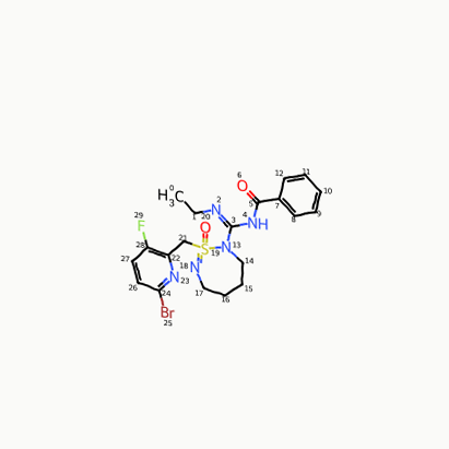 CC/N=C(/NC(=O)c1ccccc1)N1CCCCN=S1(=O)Cc1nc(Br)ccc1F